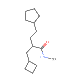 CC(C)(C)NC(=O)C(CCC1CCCC1)CC1CCC1